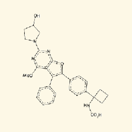 COc1nc(N2CCC(O)C2)nc2oc(-c3ccc(C4(NC(=O)O)CCC4)cc3)c(-c3ccccc3)c12